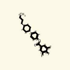 CCCC[C@H]1CC[C@H](c2ccc(OC(=O)c3cc(F)c(F)c(F)c3)cc2)CC1